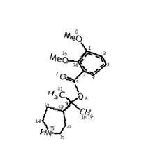 COc1cccc(C(=O)OC(C)(C)C2CCNCC2)c1OC